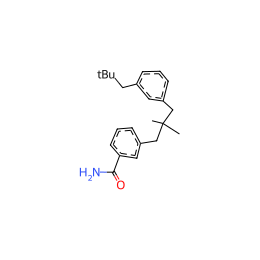 CC(C)(C)Cc1cccc(CC(C)(C)Cc2cccc(C(N)=O)c2)c1